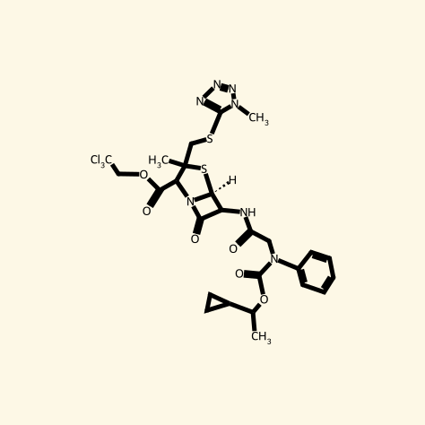 CC(OC(=O)N(CC(=O)NC1C(=O)N2C(C(=O)OCC(Cl)(Cl)Cl)C(C)(CSc3nnnn3C)S[C@@H]12)c1ccccc1)C1CC1